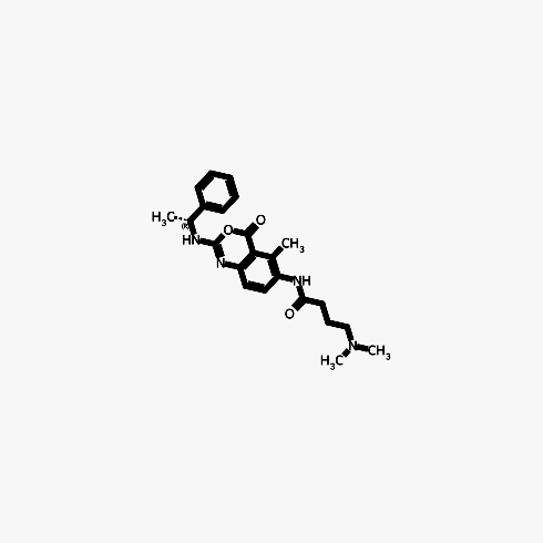 Cc1c(NC(=O)CCCN(C)C)ccc2nc(N[C@H](C)c3ccccc3)oc(=O)c12